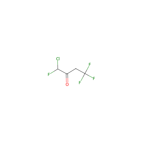 O=C(CC(F)(F)F)C(F)Cl